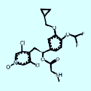 CNCC(=O)O[C@@H](Cc1c(Cl)c[n+]([O-])cc1Cl)c1ccc(OC(F)F)c(OCC2CC2)c1